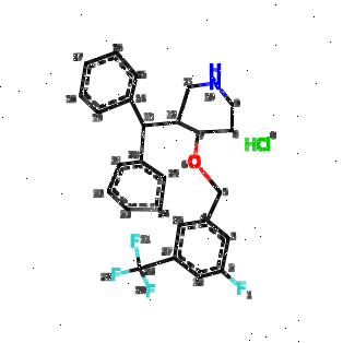 Cl.Fc1cc(COC2CCNCC2C(c2ccccc2)c2ccccc2)cc(C(F)(F)F)c1